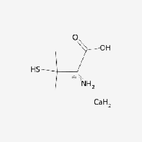 CC(C)(S)[C@@H](N)C(=O)O.[CaH2]